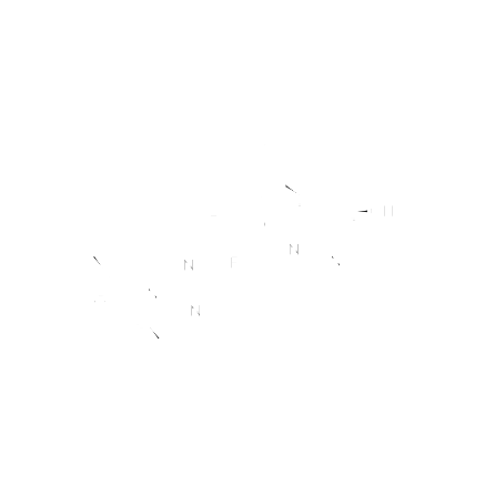 C[C@H]1CN(c2ncc(-c3ccc4nc5c(n4c3)[C@@H](c3ccccc3OC(F)F)C[C@H]5O)cn2)[C@@H](C)CO1